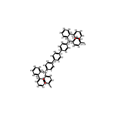 Cc1ccc(N(c2ccc(-c3ccc(-c4ccc(N(c5ccc(C)cc5)c5ccccc5-c5ccccc5)cc4)cc3)cc2)c2ccccc2-c2ccccc2)cc1